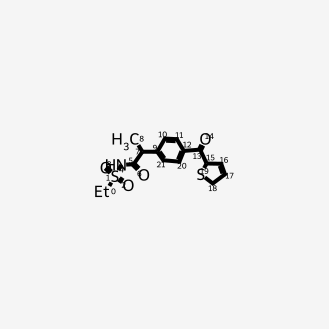 CCS(=O)(=O)NC(=O)C(C)c1ccc(C(=O)C2C=CCS2)cc1